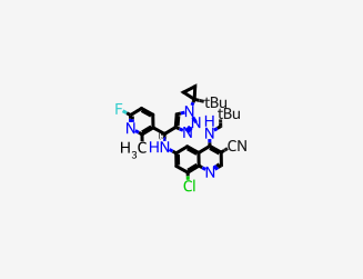 Cc1nc(F)ccc1[C@H](Nc1cc(Cl)c2ncc(C#N)c(NCC(C)(C)C)c2c1)c1cn(C2(C(C)(C)C)CC2)nn1